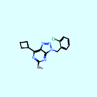 CC(C)(C)c1nc(C2CCC2)c2nnn(Cc3ccccc3Cl)c2n1